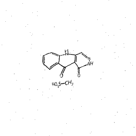 CS(=O)(=O)O.O=c1[nH]ncc2[nH]c3ccccc3c(=O)c12